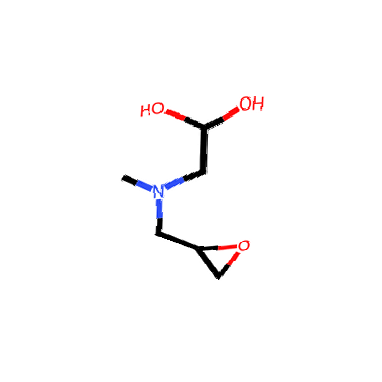 CN(CC(O)O)CC1CO1